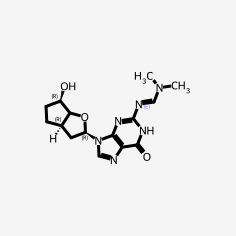 CN(C)/C=N/c1nc2c(ncn2[C@H]2C[C@H]3CC[C@@H](O)C3O2)c(=O)[nH]1